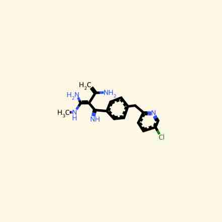 C=C(N)/C(C(=N)c1ccc(Cc2ccc(Cl)cn2)cc1)=C(\N)NC